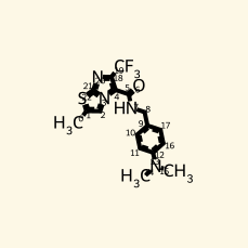 Cc1cn2c(C(=O)NCc3ccc(N(C)C)cc3)c(C(F)(F)F)nc2s1